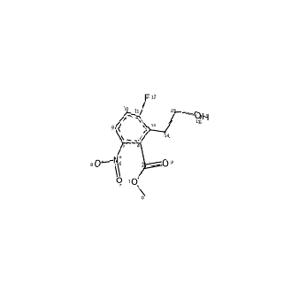 COC(=O)c1c([N+](=O)[O-])ccc(F)c1CCO